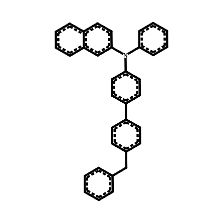 c1ccc(Cc2ccc(-c3ccc(N(c4ccccc4)c4ccc5ccccc5c4)cc3)cc2)cc1